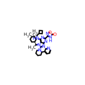 C=C([C@H]1CC[C@H](C)CC1)n1c(N2CCCCC2c2cccnc2)nc2nc(-c3noc(=O)[nH]3)nc(N[C@H](C)C3CCC3)c21